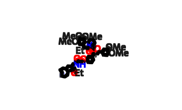 CCOC(C)(C)C(CNC(=O)COc1cccc([C@@H](CCc2ccc(OC)c(OC)c2)OC(=O)[C@@H]2CCCCN2C(=O)[C@@H](CC)c2cc(OC)c(OC)c(OC)c2)c1)CC1CC/C=C/CCC1